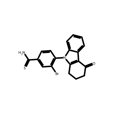 NC(=S)c1ccc(-n2c3c(c4ccccc42)C(=O)CCC3)c(Br)c1